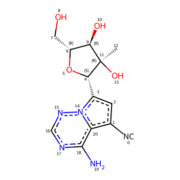 [C-]#[N+]c1cc([C@@H]2O[C@H](CO)[C@@H](O)[C@@]2(C)O)n2ncnc(N)c12